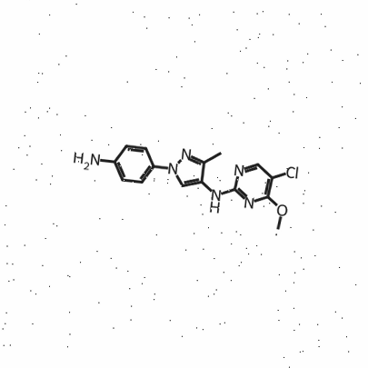 COc1nc(Nc2cn(-c3ccc(N)cc3)nc2C)ncc1Cl